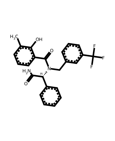 Cc1cccc(C(=O)N(Cc2cccc(C(F)(F)F)c2)[C@@H](C(N)=O)c2ccccc2)c1O